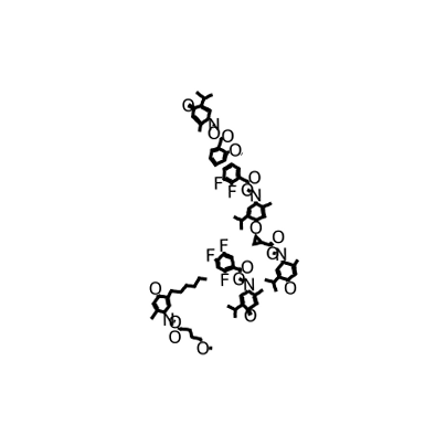 CC1=CC(=O)C(C(C)C)=CC1=NOC(=O)C1CC1.CC1=CC(=O)C(C(C)C)=CC1=NOC(=O)c1cc(F)c(F)cc1F.CC1=CC(=O)C(C(C)C)=CC1=NOC(=O)c1cccc(F)c1F.CCCCCCC1=CC(=NOC(=O)CCCOC)C(C)=CC1=O.COc1ccccc1C(=O)ON=C1C=C(C(C)C)C(=O)C=C1C